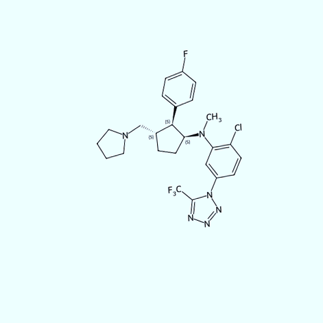 CN(c1cc(-n2nnnc2C(F)(F)F)ccc1Cl)[C@H]1CC[C@H](CN2CCCC2)[C@H]1c1ccc(F)cc1